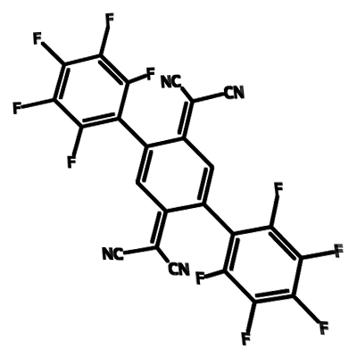 N#CC(C#N)=c1cc(-c2c(F)c(F)c(F)c(F)c2F)c(=C(C#N)C#N)cc1-c1c(F)c(F)c(F)c(F)c1F